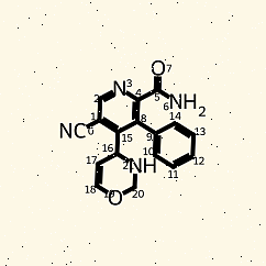 N#Cc1cnc(C(N)=O)c(-c2ccccc2)c1C1C=COCN1